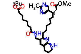 COC(=O)C[C@H](CCCCCCc1nc2c(cc1CNC(=O)CCCCCCC(=O)OC(C)(C)C)CCCN2)c1cnc(C)nc1